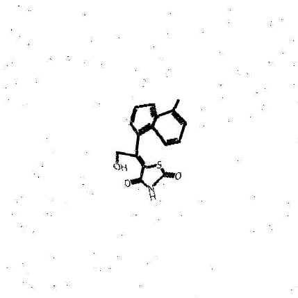 Cc1cccc2c(C(CO)=C3SC(=O)NC3=O)cccc12